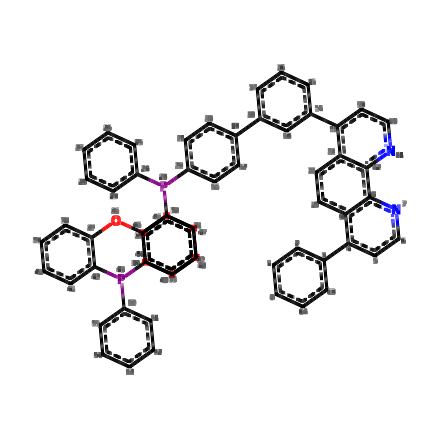 c1ccc(-c2ccnc3c2ccc2c(-c4cccc(-c5ccc(P(c6ccccc6)c6ccccc6Oc6ccccc6P(c6ccccc6)c6ccccc6)cc5)c4)ccnc23)cc1